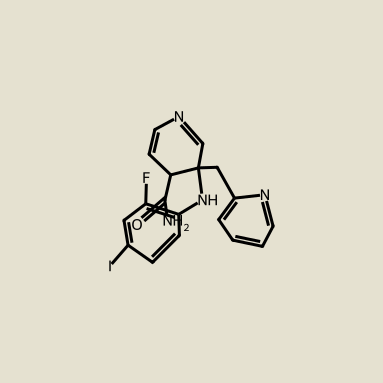 NC(=O)C1C=CN=CC1(Cc1ccccn1)Nc1ccc(I)cc1F